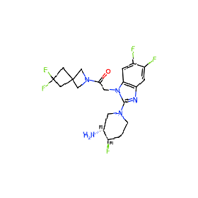 N[C@@H]1CN(c2nc3cc(F)c(F)cc3n2CC(=O)N2CC3(C2)CC(F)(F)C3)CC[C@H]1F